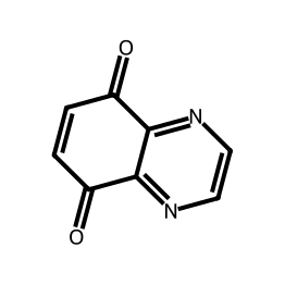 O=C1C=CC(=O)c2nccnc21